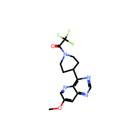 COc1cnc2c(C3CCN(C(=O)C(F)(F)F)CC3)ncnc2c1